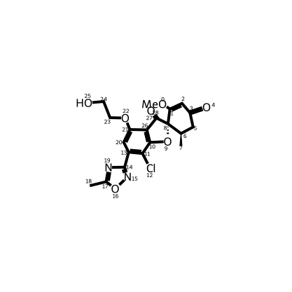 COC1=CC(=O)C[C@@H](C)[C@]12Oc1c(Cl)c(-c3noc(C)n3)cc(OCCO)c1C2=O